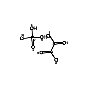 O=C(Cl)C(=O)Cl.O=P(O)(O)Cl